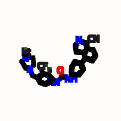 CCN1CCN(Cc2ccc(NC(=O)Nc3ccc(-c4cccc5c(C#N)nccc45)cc3)cc2C(F)(F)F)CC1